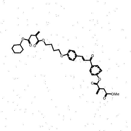 C=C(CC(=O)OC1CCCCC1)C(=O)OCCCCOc1ccc(/C=C/C(=O)c2ccc(OC(=O)C(=C)CC(=O)OC)cc2)cc1